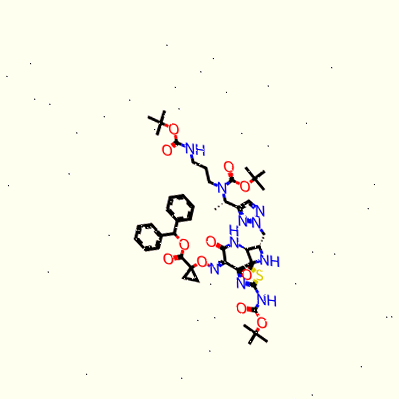 C[C@@H](c1cnn(C[C@@H]2NC(=O)[C@H]2NC(=O)C(=NOC2(C(=O)OC(c3ccccc3)c3ccccc3)CC2)c2csc(NC(=O)OC(C)(C)C)n2)n1)N(CCCNC(=O)OC(C)(C)C)C(=O)OC(C)(C)C